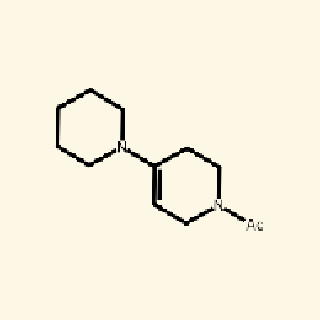 CC(=O)N1CC=C(N2CCCCC2)CC1